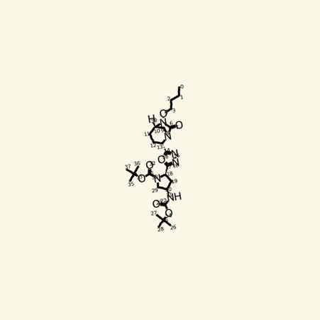 CCCCON1C(=O)N2C[C@@H]1CC[C@H]2c1nnc([C@H]2C[C@@H](NC(=O)OC(C)(C)C)CN2C(=O)OC(C)(C)C)o1